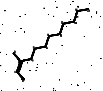 CC=C(C)CCCCCCCCC